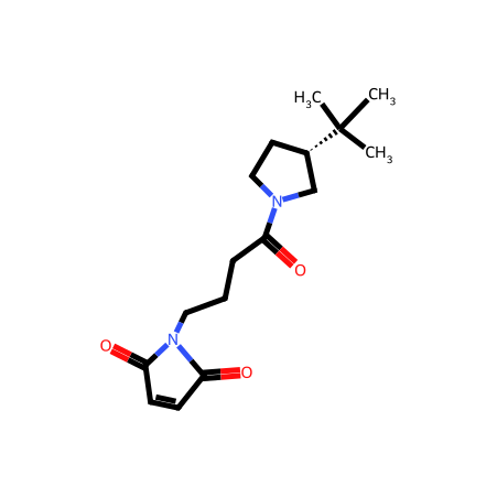 CC(C)(C)[C@H]1CCN(C(=O)CCCN2C(=O)C=CC2=O)C1